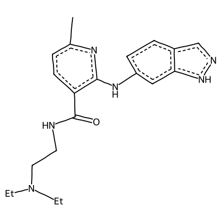 CCN(CC)CCNC(=O)c1ccc(C)nc1Nc1ccc2cn[nH]c2c1